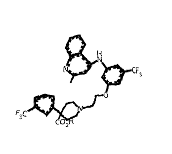 Cc1cc(Nc2cc(OCCN3CCC(C(=O)O)(c4cccc(C(F)(F)F)c4)CC3)cc(C(F)(F)F)c2)c2ccccc2n1